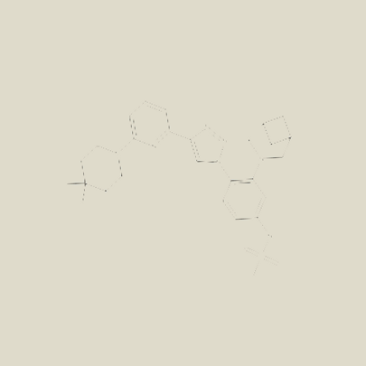 CS(=O)(=O)Nc1ccc(-n2cc(-c3cccc(N4CCC(F)(F)CC4)n3)nn2)c(N2CC3CC(C3)C2)c1